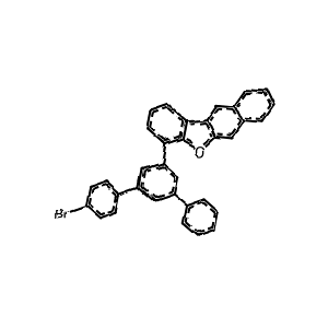 Brc1ccc(-c2cc(-c3ccccc3)cc(-c3cccc4c3oc3cc5ccccc5cc34)c2)cc1